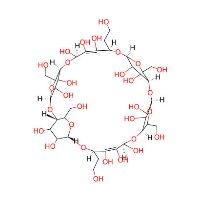 OCC[C@H]1O[C@H]2OC(CO)[C@@H](O[C@H]3OC(CO)[C@@H](O[C@@H](O)/C(O)=C(/O)[C@@H](CCO)O[C@H]4OC(CO)[C@@H](O[C@H]5OC(CO)[C@@H](O[C@@H](O)/C(O)=C\1O)C(O)C5O)C(O)C4O)C(O)C3O)C(O)C2O